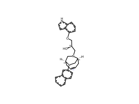 O[C@@H](COc1cccc2[nH]ccc12)CN1C[C@@H]2C/C=C\C[C@H]1CN2c1ccc2ccccc2c1